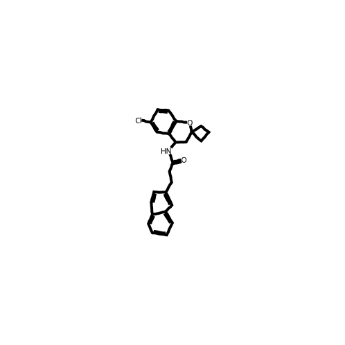 O=C(CCc1ccc2ccccc2c1)NC1CC2(CCC2)Oc2ccc(Cl)cc21